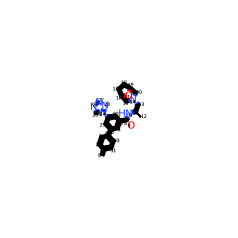 Cc1ccc(-c2cc(C(=O)N[C@H](C)CN3CC4CCC(C3)O4)cc(-n3cnnn3)c2)cc1